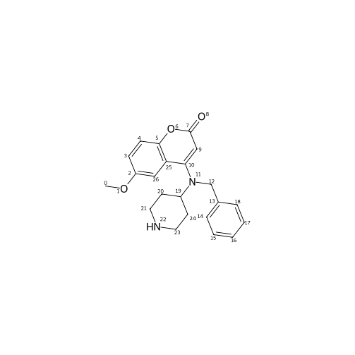 COc1ccc2oc(=O)cc(N(Cc3ccccc3)C3CCNCC3)c2c1